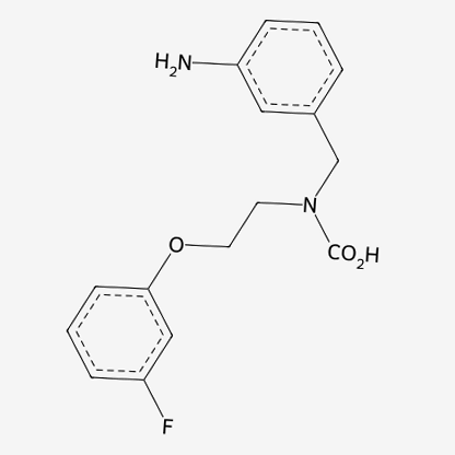 Nc1cccc(CN(CCOc2cccc(F)c2)C(=O)O)c1